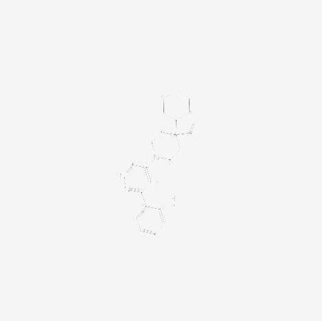 O=C(O)C1(C2CCOCC2)CCN(c2cnnc(-c3ccccc3O)c2)CC1